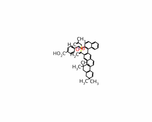 C=C(C)CS(=O)(=O)C(=C)c1cc2c3c(ccc2cc1-c1c(/C=C/c2ccc(C(=O)O)cc2)ccc2ccccc12)C1=C(CC(C)(C)C=C1)CC3(C)C